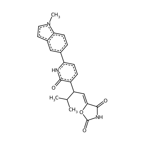 CC(C)C(C=C1OC(=O)NC1=O)c1ccc(-c2ccc3c(ccn3C)c2)[nH]c1=O